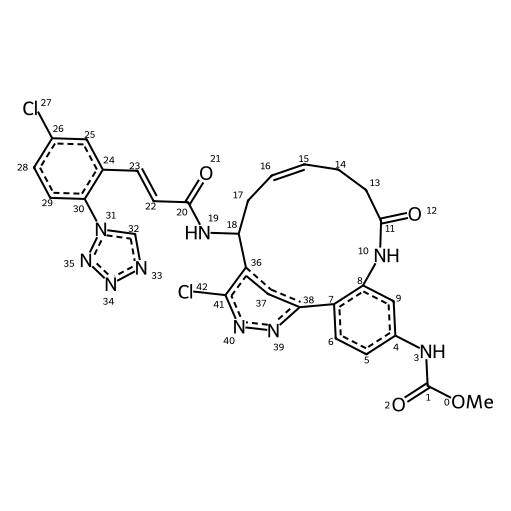 COC(=O)Nc1ccc2c(c1)NC(=O)CCC=CCC(NC(=O)C=Cc1cc(Cl)ccc1-n1cnnn1)c1cc-2nnc1Cl